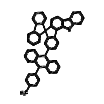 Cc1ccc(-c2c3ccccc3c(-c3ccc4c(c3)C3(c5ccccc5-c5ccccc53)c3ccc5c(sc6ccccc65)c3-4)c3ccccc23)cc1